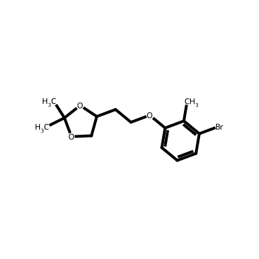 Cc1c(Br)cccc1OCCC1COC(C)(C)O1